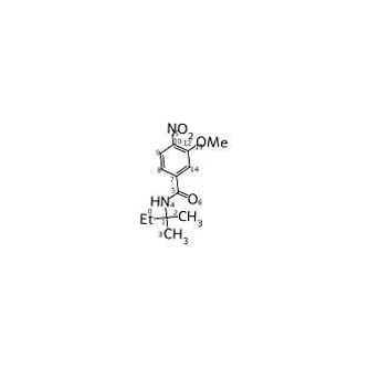 CCC(C)(C)NC(=O)c1ccc([N+](=O)[O-])c(OC)c1